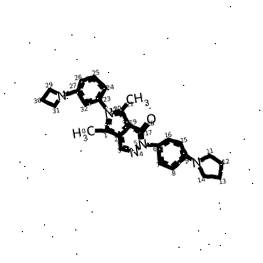 Cc1c2cnn(-c3ccc(N4CCCC4)cc3)c(=O)c2c(C)n1-c1cccc(N2CCC2)c1